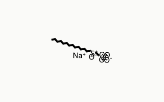 CCCCCCCCCCCCCC[S+]([O-])CCOS(=O)(=O)[O-].[Na+]